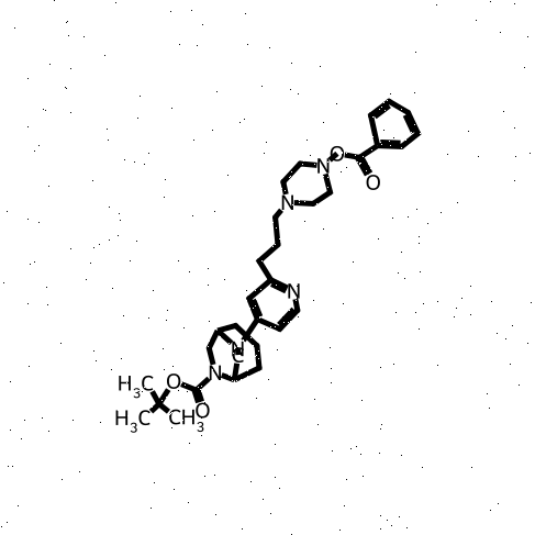 CC(C)(C)OC(=O)N1CC2CCCC1CN2c1ccnc(CCCN2CCN(OC(=O)c3ccccc3)CC2)c1